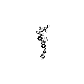 Cc1c(NCc2ccc(CN3CC(N4CCOCC4)C3)cc2F)cccc1C(=O)N(C=O)C(C)CCC(=O)NC=O